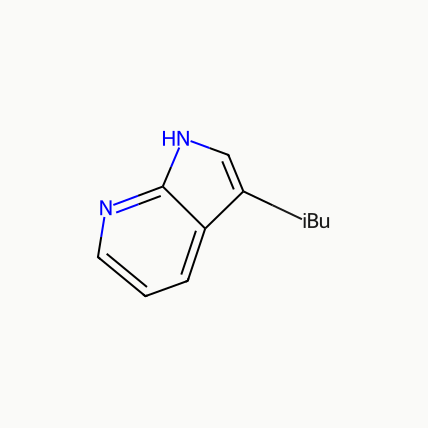 CCC(C)c1c[nH]c2ncccc12